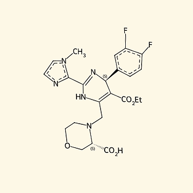 CCOC(=O)C1=C(CN2CCOC[C@H]2C(=O)O)NC(c2nccn2C)=N[C@H]1c1ccc(F)c(F)c1